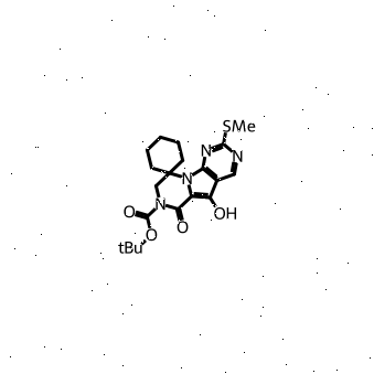 CSc1ncc2c(O)c3n(c2n1)C1(CCCCC1)CN(C(=O)OC(C)(C)C)C3=O